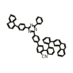 N#Cc1ccc(-c2ccc(-c3nc(-c4ccccc4)nc(-c4ccc(-c5cccc6ccccc56)cc4)n3)cc2)cc1-c1ccccc1-c1ccccc1-c1ccc2ccc3ccccc3c2c1